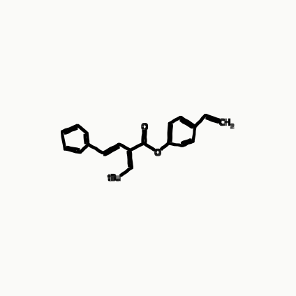 C=Cc1ccc(OC(=O)C(C=Cc2ccccc2)=CC(C)(C)C)cc1